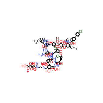 CCC1(NCc2ccc(-c3ccc(Cl)cc3)cc2)C[C@H](O[C@@H]2C(O)C(O)[C@@H](CO)O[C@H]2Oc2c3cc4cc2Oc2ccc(cc2Cl)[C@@H](O)[C@@H](NC(=O)[C@@H](CC(C)C)NC)C(=O)N[C@@H](CC(N)=O)C(=O)N[C@H]4C(=O)N[C@H]2C(=O)N[C@H](C(=O)N[C@H](C(=O)O)c4cc(O)c(CNCCCNC(=O)[C@H](O)[C@@H](O)[C@H](O)[C@H](O)CO)c(O)c4-c4cc2ccc4O)[C@H](O)c2ccc(c(Cl)c2)O3)C[C@@H](C)[C@H]1O